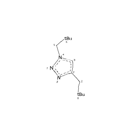 CC(C)(C)Cc1cn(CC(C)(C)C)nn1